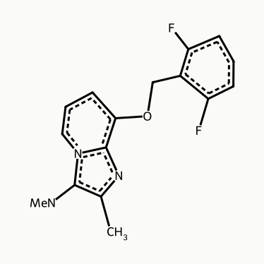 CNc1c(C)nc2c(OCc3c(F)cccc3F)cccn12